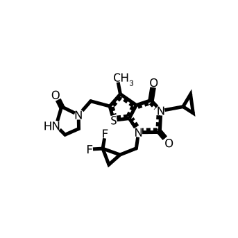 Cc1c(CN2CCNC2=O)sc2c1c(=O)n(C1CC1)c(=O)n2CC1CC1(F)F